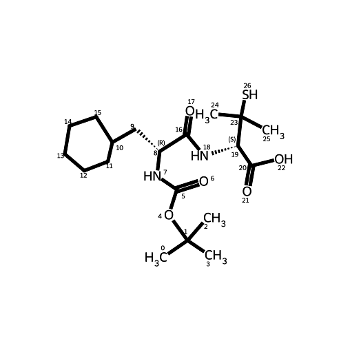 CC(C)(C)OC(=O)N[C@H](CC1CCCCC1)C(=O)N[C@@H](C(=O)O)C(C)(C)S